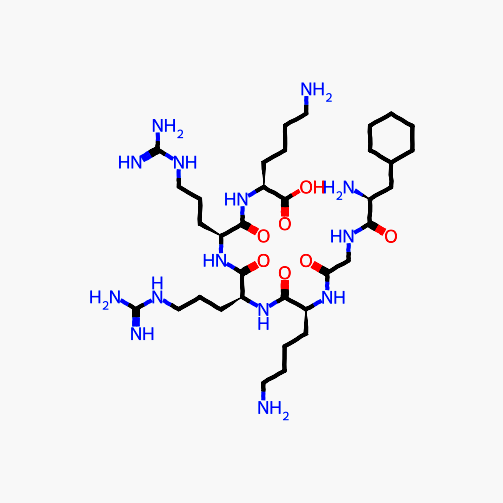 N=C(N)NCCC[C@H](NC(=O)[C@H](CCCNC(=N)N)NC(=O)[C@H](CCCCN)NC(=O)CNC(=O)[C@@H](N)CC1CCCCC1)C(=O)N[C@@H](CCCCN)C(=O)O